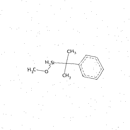 CO[SiH2]C(C)(C)c1ccccc1